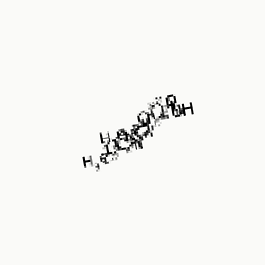 Cc1cccc(Cc2nc3ccc(O[C@H]4CC[C@@H](C(=O)O)CC4)cc3n2C)c1